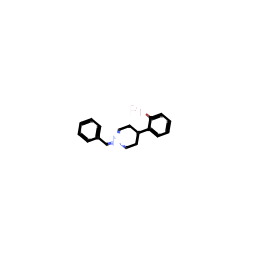 Brc1cc[c]cc1C1CCN(Cc2ccccc2)CC1